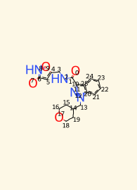 O=C(NCc1cc(=O)[nH]o1)c1nn(CC2CCOCC2)c2ccccc12